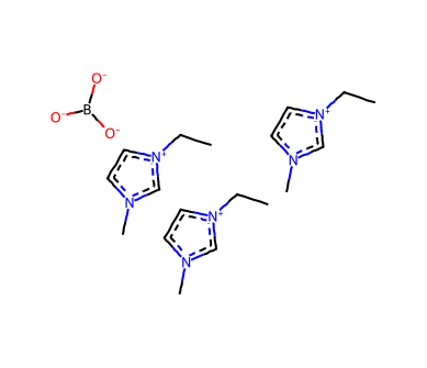 CC[n+]1ccn(C)c1.CC[n+]1ccn(C)c1.CC[n+]1ccn(C)c1.[O-]B([O-])[O-]